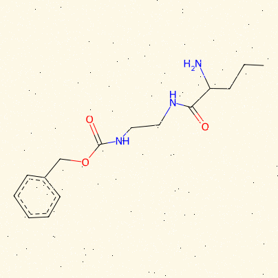 CCCC(N)C(=O)NCCNC(=O)OCc1ccccc1